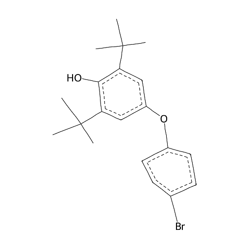 CC(C)(C)c1cc(Oc2ccc(Br)cc2)cc(C(C)(C)C)c1O